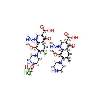 CNn1cc(C(=O)O)c(=O)c2cc(F)c(N3CCNCC3)c(OC)c21.CNn1cc(C(=O)O)c(=O)c2cc(F)c(N3CCNCC3)c(OC)c21.Cl.Cl.O